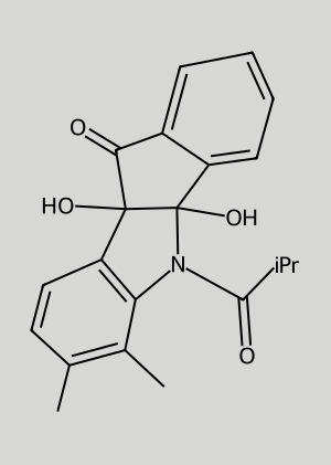 Cc1ccc2c(c1C)N(C(=O)C(C)C)C1(O)c3ccccc3C(=O)C21O